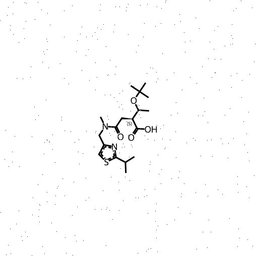 CC(C)c1nc(CN(C)C(=O)C[C@H](C(=O)O)C(C)OC(C)(C)C)cs1